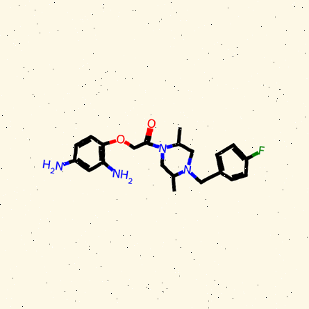 CC1CN(C(=O)COc2ccc(N)cc2N)C(C)CN1Cc1ccc(F)cc1